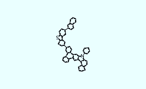 c1ccc(-n2c3cc4c5ccc(-c6ccc7sc8ccc(-c9ccc%10ccccc%10c9)cc8c7c6)cc5c5ccccc5c4cc3c3c4ccccc4ccc32)cc1